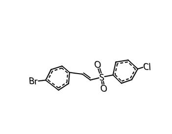 O=S(=O)(/C=C/c1ccc(Br)cc1)c1ccc(Cl)cc1